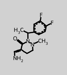 CC(c1ccc(F)c(F)c1)N1C(=O)/C(=C/N)CCN1C